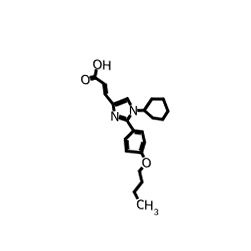 CCCCOc1ccc(-c2nc(/C=C/C(=O)O)cn2C2CCCCC2)cc1